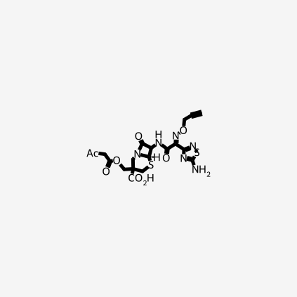 C#CCON=C(C(=O)NC1C(=O)N2CC(COC(=O)CC(C)=O)(C(=O)O)CS[C@H]12)c1nsc(N)n1